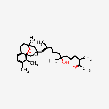 CCC12OC(C)(CC/C=C(\C)CCCC(C)(O)CCCC(C)C(C)=O)CCC1=CC=C(C)C2C